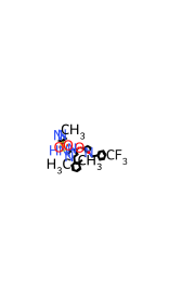 Cc1cccc(C)c1-c1cc(OC2CCN(Cc3ccc(C(F)(F)F)cc3)C2)nc(NS(=O)(=O)c2cnn(C)c2)n1